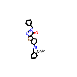 COc1ccccc1CNC1CCc2c(sc3ncn(Cc4ccccc4)c(=O)c23)C1